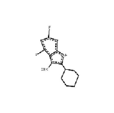 O=Cc1c(C2CCCCC2)[nH]c2cc(F)cc(F)c12